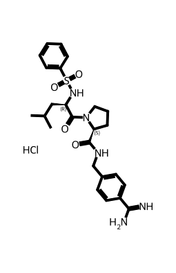 CC(C)C[C@@H](NS(=O)(=O)c1ccccc1)C(=O)N1CCC[C@H]1C(=O)NCc1ccc(C(=N)N)cc1.Cl